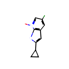 [O-][n+]1cc(F)cc2cc(C3CC3)[nH]c21